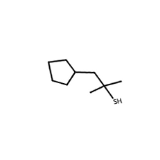 CC(C)(S)CC1CCCC1